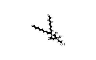 CCCCCCCCC=C(CCCCCCCC)N1C(=O)CC([S+]([O-])CCO)C1=O